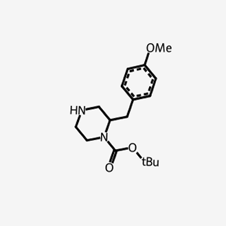 COc1ccc(CC2CNCCN2C(=O)OC(C)(C)C)cc1